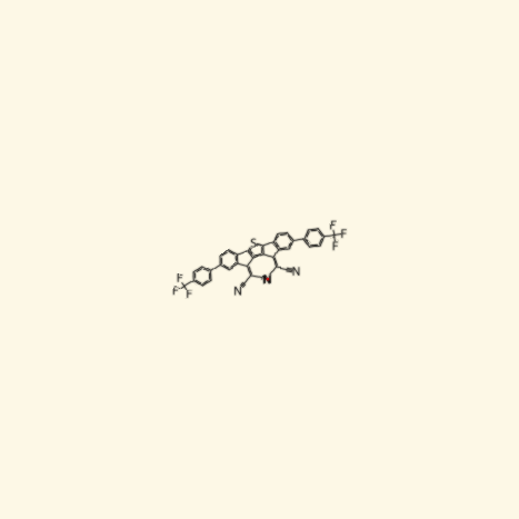 N#CC(C#N)=C1c2cc(-c3ccc(C(F)(F)F)cc3)ccc2-c2sc3c(c21)C(=C(C#N)C#N)c1cc(-c2ccc(C(F)(F)F)cc2)ccc1-3